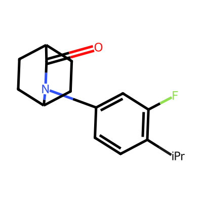 CC(C)c1ccc(N2C(=O)C3CCC2CC3)cc1F